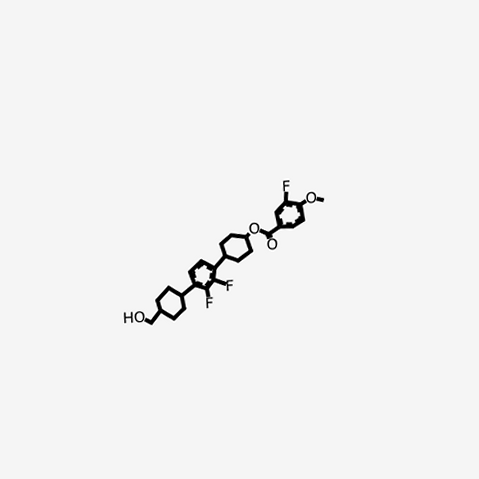 COc1ccc(C(=O)OC2CCC(c3ccc(C4CCC(CO)CC4)c(F)c3F)CC2)cc1F